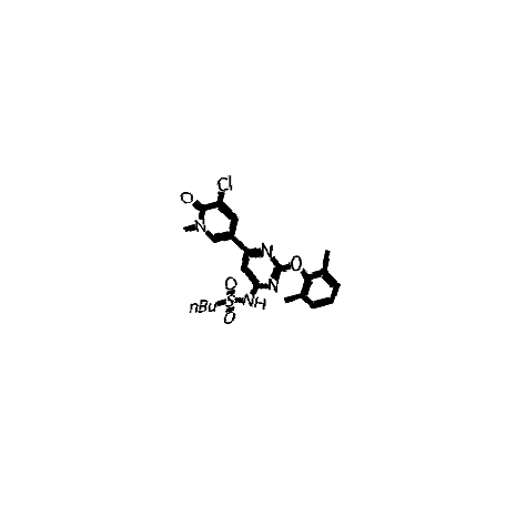 CCCCS(=O)(=O)Nc1cc(-c2cc(Cl)c(=O)n(C)c2)nc(Oc2c(C)cccc2C)n1